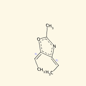 C/C=c1/nc(C)o/c1=C/C